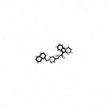 O=C(NCC1CCN(Cc2cccc3ccccc23)CC1)c1c2n(c3ccccc13)CCCO2